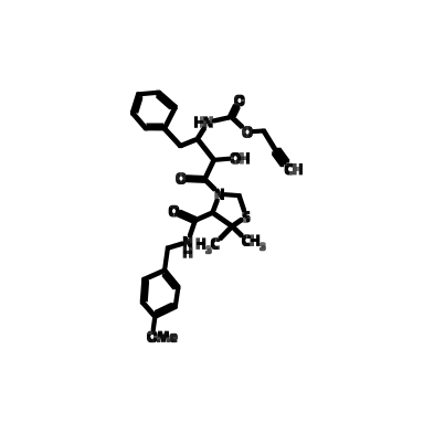 C#CCOC(=O)NC(Cc1ccccc1)C(O)C(=O)N1CSC(C)(C)C1C(=O)NCc1ccc(OC)cc1